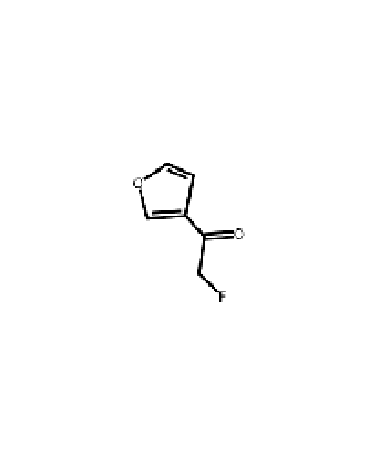 O=C(CF)c1ccoc1